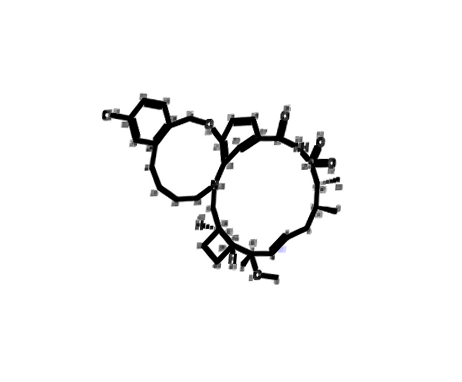 CO[C@@]1(C)/C=C/C[C@H](C)[C@@H](C)S(=O)(=O)NC(=O)c2ccc3c(c2)N(CCCCc2cc(Cl)ccc2CO3)C[C@@H]2CC[C@H]21